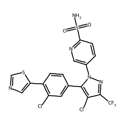 NS(=O)(=O)c1ccc(-n2nc(C(F)(F)F)c(Cl)c2-c2ccc(-c3cncs3)c(Cl)c2)cn1